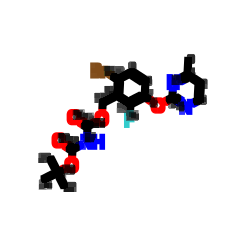 Cc1ccnc(Oc2ccc(Br)c(COC(=O)NC(=O)OC(C)(C)C)c2F)n1